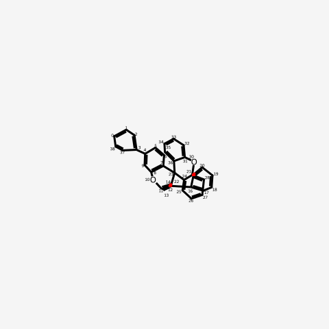 c1ccc(-c2ccc3c(c2)Oc2cccc(-c4ccccc4)c2C32c3ccccc3Oc3ccccc32)cc1